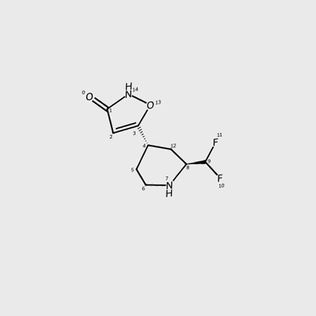 O=c1cc([C@H]2CCN[C@H](C(F)F)C2)o[nH]1